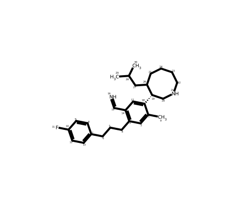 Cc1cc(CCCc2ccc(F)cc2)c(C=N)cc1[C@H]1CNCCCCC1CC(C)C